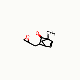 CC12C=CC(C1)C(CC1CO1)C2=O